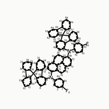 Fc1ccc(N(c2cccc3c2-c2ccccc2C32c3ccccc3-c3ccccc32)c2ccc3ccc4c(N(c5ccc(F)cc5)c5cccc6c5-c5ccccc5C65c6ccccc6-c6ccccc65)ccc5ccc2c3c54)cc1